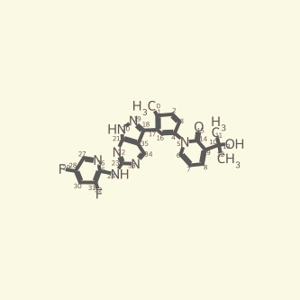 Cc1ccc(-n2cccc(C(C)(C)O)c2=O)cc1-c1n[nH]c2nc(Nc3ncc(F)cc3F)ncc12